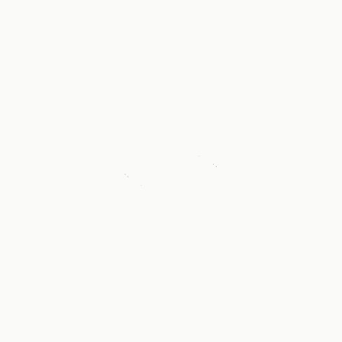 O=C(C1CC(C(=O)N(Cc2ccccc2)Cc2ccccc2)C1)N(Cc1ccccc1)Cc1ccccc1